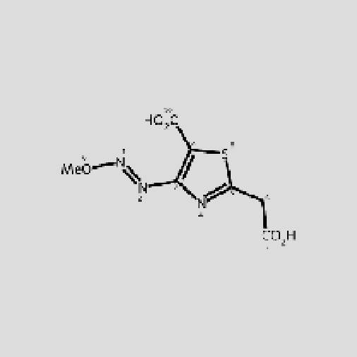 CON=Nc1nc(CC(=O)O)sc1C(=O)O